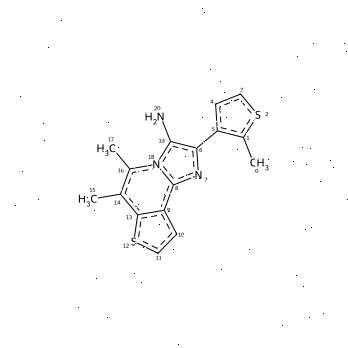 Cc1sccc1-c1nc2c3ccsc3c(C)c(C)n2c1N